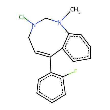 CN1CN(Cl)CC=C(c2ccccc2F)c2ccccc21